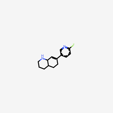 Fc1ccc(C2=CC3NCCCC3CC2)cn1